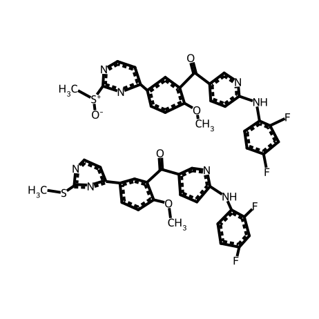 COc1ccc(-c2ccnc(SC)n2)cc1C(=O)c1ccc(Nc2ccc(F)cc2F)nc1.COc1ccc(-c2ccnc([S+](C)[O-])n2)cc1C(=O)c1ccc(Nc2ccc(F)cc2F)nc1